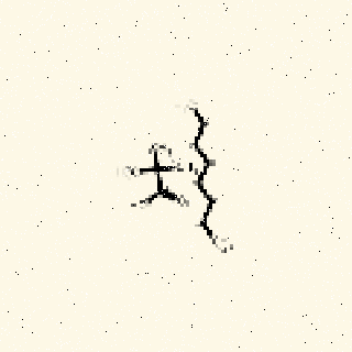 CC(C)(C)C(=O)O.CCCCCCCC